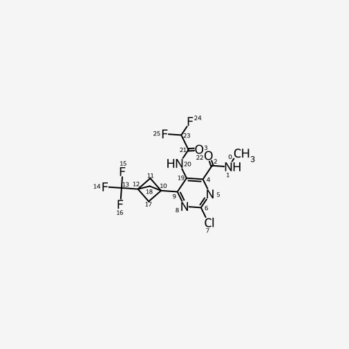 CNC(=O)c1nc(Cl)nc(C23CC(C(F)(F)F)(C2)C3)c1NC(=O)C(F)F